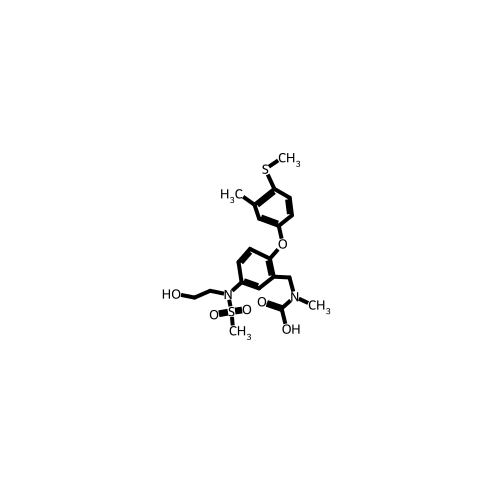 CSc1ccc(Oc2ccc(N(CCO)S(C)(=O)=O)cc2CN(C)C(=O)O)cc1C